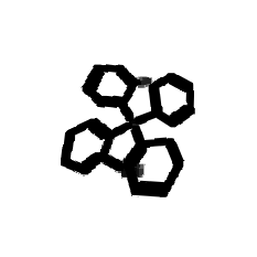 CC(C)c1ccccc1S(c1ccccc1)(c1ccccc1)c1ccccc1C(C)(C)C